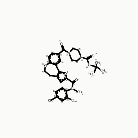 CN(C(=O)c1cc2c(s1)-c1cc(C(=O)N3CCN(C(=O)OC(C)(C)C)CC3)ccc1OCC2)c1ccc(Cl)cc1Cl